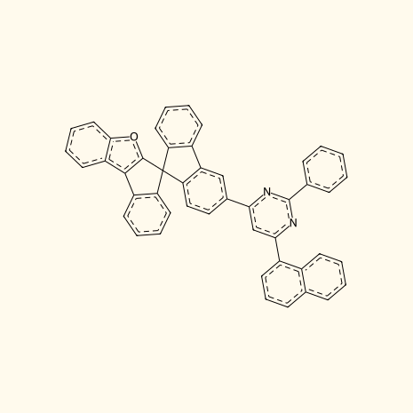 c1ccc(-c2nc(-c3ccc4c(c3)-c3ccccc3C43c4ccccc4-c4c3oc3ccccc43)cc(-c3cccc4ccccc34)n2)cc1